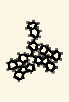 c1ccc2c(c1)-c1ccccc1C21c2ccccc2-c2ccc(N(c3ccc(-c4ccc5ccccc5c4)cc3)c3ccc4c(c3)C3(c5ccccc5-c5ccccc53)c3ccccc3-4)cc21